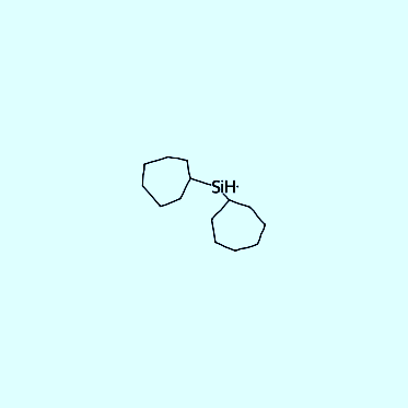 C1CCCC([SiH]C2CCCCCC2)CC1